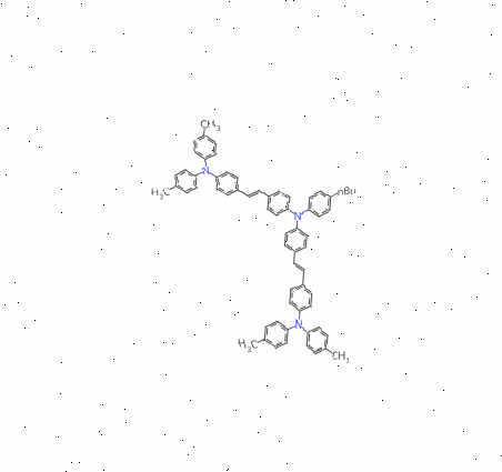 CCCCc1ccc(N(c2ccc(/C=C/c3ccc(N(c4ccc(C)cc4)c4ccc(C)cc4)cc3)cc2)c2ccc(/C=C/c3ccc(N(c4ccc(C)cc4)c4ccc(C)cc4)cc3)cc2)cc1